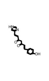 O=C(C=Cc1ccc(O)cc1)CC(=O)C=Cc1c[nH]cn1